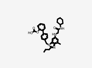 CCCc1nc2c(C)cc(NCC(=O)NC3CCCCC3)cc2n1Cc1ccc(-c2ccccc2OC(=O)O)cc1